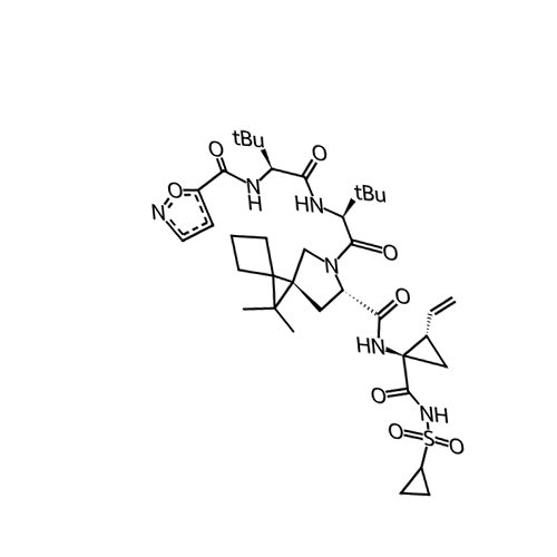 C=C[C@@H]1C[C@]1(NC(=O)[C@@H]1C[C@@]2(CN1C(=O)[C@@H](NC(=O)[C@@H](NC(=O)c1ccno1)C(C)(C)C)C(C)(C)C)C(C)(C)C21CCC1)C(=O)NS(=O)(=O)C1CC1